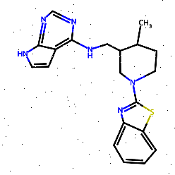 CC1CCN(c2nc3ccccc3s2)CC1CNc1ncnc2[nH]ccc12